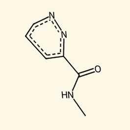 CNC(=O)c1cccnn1